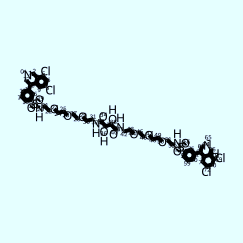 CN1Cc2c(Cl)cc(Cl)cc2C(c2cccc(S(=O)(=O)NCCOCCOCCOCCNC(=O)[C@@H](O)C(O)C(=O)NCCOCCOCCOCCNS(=O)(=O)c3cccc(C4CN(C)C[C@@H]5C(Cl)CC(Cl)CC45)c3)c2)C1